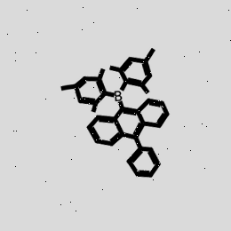 Cc1cc(C)c(B(c2c(C)cc(C)cc2C)c2c3ccccc3c(-c3ccccc3)c3ccccc23)c(C)c1